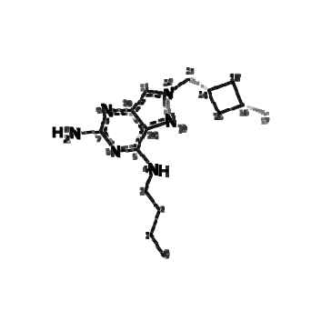 CCCCNc1nc(N)nc2cn(C[C@H]3C[C@@H](C)C3)nc12